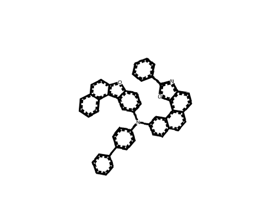 c1ccc(-c2ccc(N(c3ccc4oc5ccc6ccccc6c5c4c3)c3ccc4ccc5ccc6nc(-c7ccccc7)oc6c5c4c3)cc2)cc1